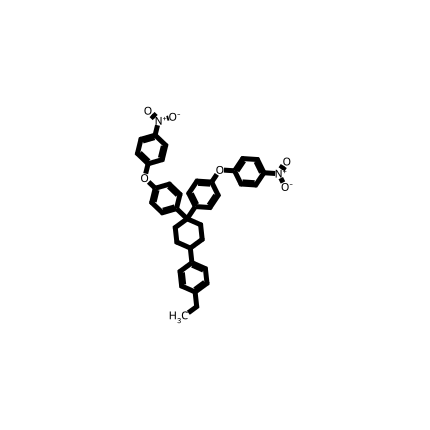 CCc1ccc(C2CCC(c3ccc(Oc4ccc([N+](=O)[O-])cc4)cc3)(c3ccc(Oc4ccc([N+](=O)[O-])cc4)cc3)CC2)cc1